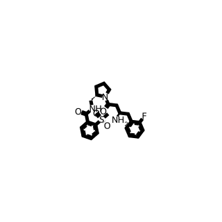 CS(=O)(=O)c1ccccc1C(=O)NC[C@@H]1CCCN1C(=O)C[C@H](N)Cc1ccccc1F